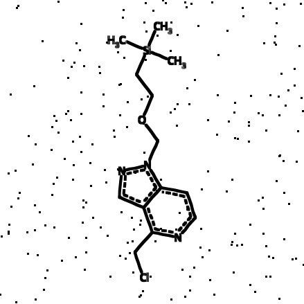 C[Si](C)(C)CCOCn1ncc2c(CCl)nccc21